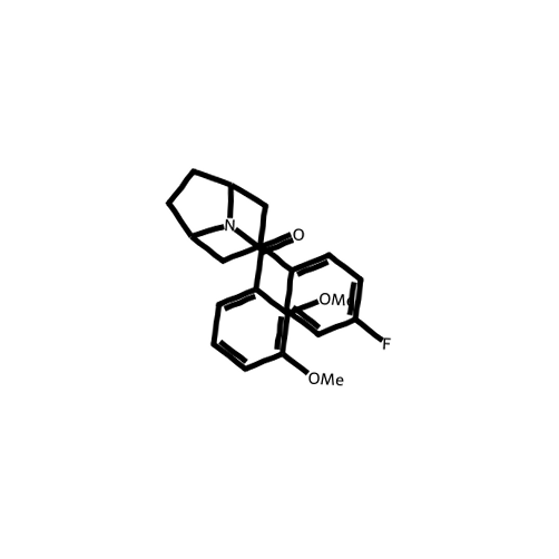 COc1cccc(C(=O)N2C3CCC2CC(c2ccc(F)cc2)C3)c1OC